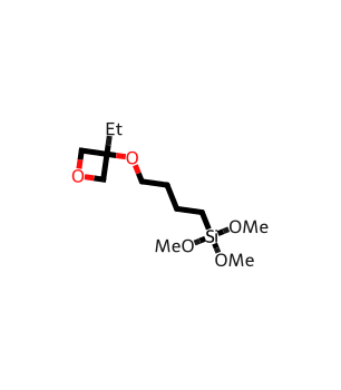 CCC1(OCCCC[Si](OC)(OC)OC)COC1